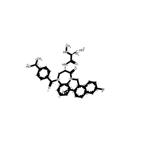 CN[C@@H](C)C(=O)N[C@H]1CN(C(=O)c2ccc(C(C)O)cc2)c2ccccc2N(Cc2c(OC)ccc3cc(Br)ccc23)C1=O.Cl